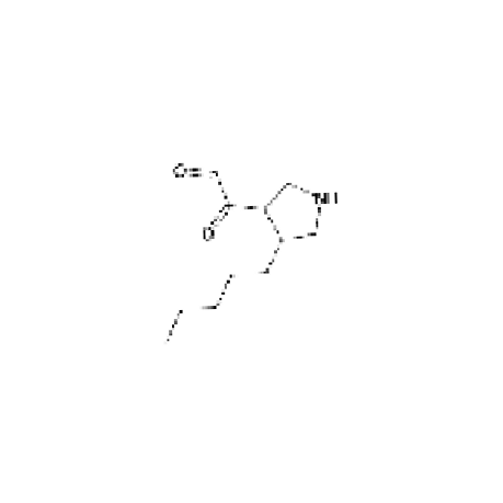 CCCCCC1CNCC1C(=O)C=O